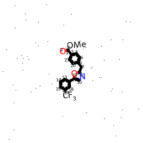 COC(=O)c1ccc(Cc2ncc(-c3cccc(C(F)(F)F)c3)o2)cc1